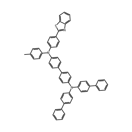 Cc1ccc(N(c2ccc(-c3ccc(N(c4ccc(-c5ccccc5)cc4)c4ccc(-c5ccccc5)cc4)cc3)cc2)c2ccc(-c3nc4ccccc4s3)cc2)cc1